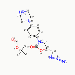 CC(C)(C)OC=O.[N-]=[N+]=NC[C@H]1CN(c2ccc(N3CCNCC3)cc2)C(=O)O1